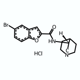 Cl.O=C(N[C@H]1CN2CCC1CC2)c1cc2cc(Br)ccc2o1